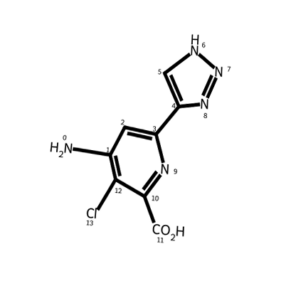 Nc1cc(-c2c[nH]nn2)nc(C(=O)O)c1Cl